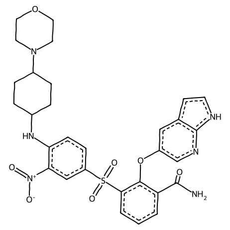 NC(=O)c1cccc(S(=O)(=O)c2ccc(NC3CCC(N4CCOCC4)CC3)c([N+](=O)[O-])c2)c1Oc1cnc2[nH]ccc2c1